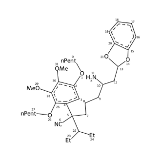 CCCCCOc1cc(C(C#N)(CCCC(N)CC2Oc3ccccc3O2)C(CC)CC)c(OCCCCC)c(OC)c1OC